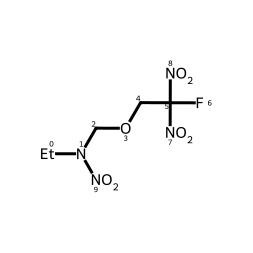 CCN(COCC(F)([N+](=O)[O-])[N+](=O)[O-])[N+](=O)[O-]